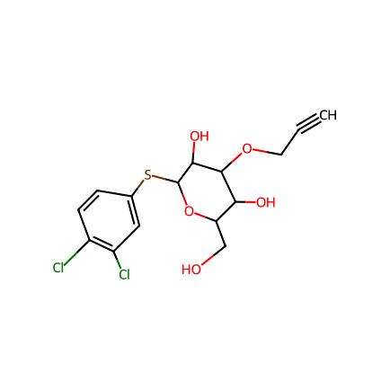 C#CCOC1C(O)C(CO)OC(Sc2ccc(Cl)c(Cl)c2)C1O